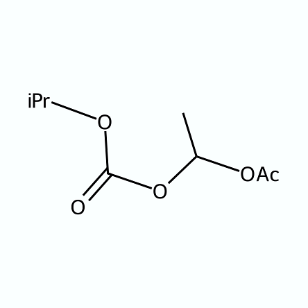 CC(=O)OC(C)OC(=O)OC(C)C